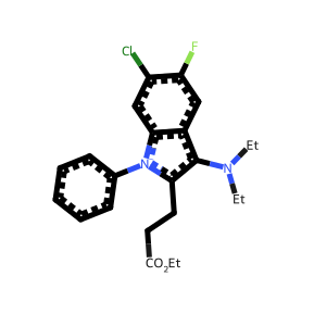 CCOC(=O)CCc1c(N(CC)CC)c2cc(F)c(Cl)cc2n1-c1ccccc1